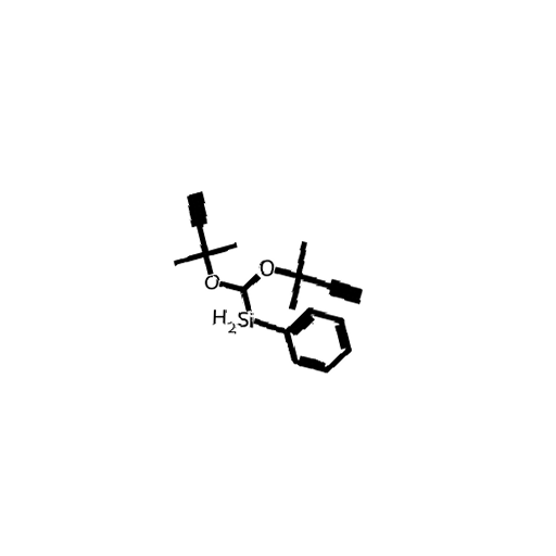 C#CC(C)(C)OC(OC(C)(C)C#C)[SiH2]c1ccccc1